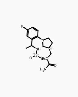 CC(N[S@+]([O-])C(C)(C)C)c1cc(F)ccc1N1CC[C@@H](COC(N)=O)C1